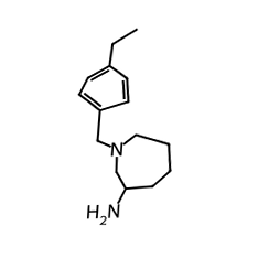 CCc1ccc(CN2CCCCC(N)C2)cc1